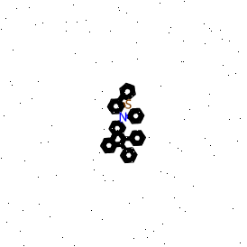 c1ccc(-c2c(-c3ccccc3)c3cc(N(c4ccccc4)c4cccc5c4sc4ccccc45)ccc3c3ccccc23)cc1